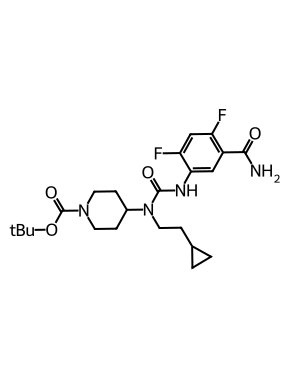 CC(C)(C)OC(=O)N1CCC(N(CCC2CC2)C(=O)Nc2cc(C(N)=O)c(F)cc2F)CC1